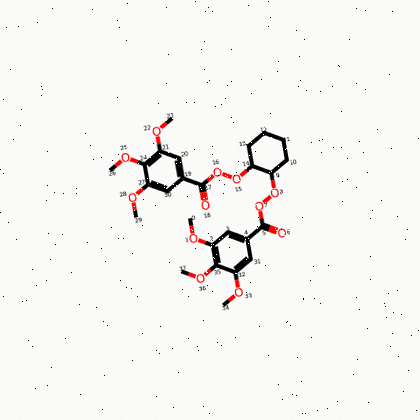 COc1cc(C(=O)OO[C]2CC[CH]CC2OOC(=O)c2cc(OC)c(OC)c(OC)c2)cc(OC)c1OC